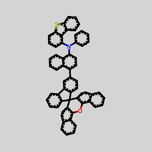 c1ccc(N(c2ccc(-c3ccc4c(c3)-c3ccccc3C43c4ccc5ccccc5c4Oc4c3ccc3ccccc43)c3ccccc23)c2cccc3sc4ccccc4c23)cc1